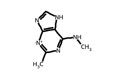 CNC1=NC(C)=[N+]c2nc[nH]c21